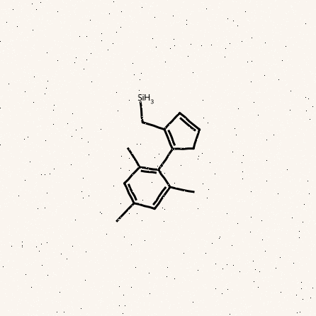 Cc1cc(C)c(C2=C(C[SiH3])C=CC2)c(C)c1